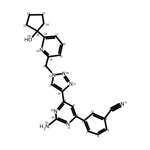 N#Cc1cccc(-c2cc(-c3cn(Cc4cccc(C5(O)CCCC5)n4)nn3)nc(N)n2)c1